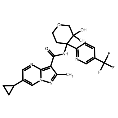 Cc1nn2cc(C3CC3)cnc2c1C(=O)NC1(c2ccc(C(F)(F)F)cn2)CCOCC1(C)O